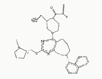 C=C(F)C(=O)N1CCN(c2nc(OC[C@@H]3CCCN3C)nc3c2CCCN(c2cccc4ccccc24)C3)CC1CC#N